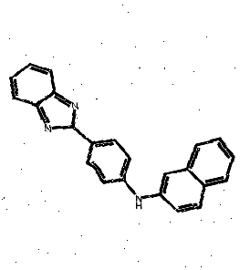 c1ccc2c(c1)=NC(c1ccc(Nc3ccc4ccccc4c3)cc1)N=2